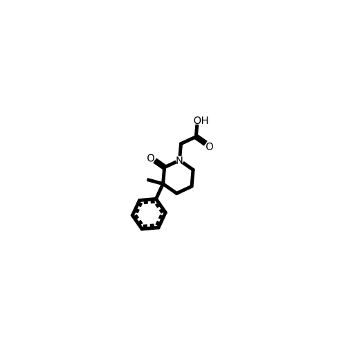 CC1(c2ccccc2)CCCN(CC(=O)O)C1=O